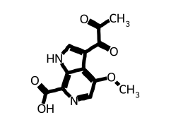 COc1cnc(C(=O)O)c2[nH]cc(C(=O)C(C)=O)c12